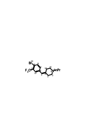 CCCN1CCC(=Cc2ccc(Br)c(C(F)(F)F)c2)CC1